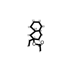 CCC1(OC(C)=O)CCC2CCCCC2C1